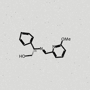 COc1cccc(C=N[C@H](CO)c2ccccc2)n1